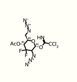 CC(=O)O[C@@H]1[C@@H](CN=[N+]=[N-])O[C@H](OC(=N)C(Cl)(Cl)Cl)C(N=[N+]=[N-])C1(F)F